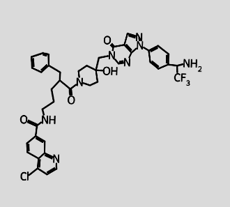 NC(c1ccc(-n2ncc3c(=O)n(CC4(O)CCN(C(=O)C(CCCNC(=O)c5ccc6c(Cl)ccnc6c5)Cc5ccccc5)CC4)cnc32)cc1)C(F)(F)F